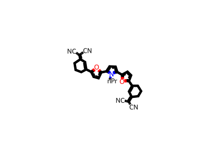 CCCn1c(-c2ccc(C3=CC(=C(C#N)C#N)CCC3)o2)ccc1-c1ccc(C2=CC(=C(C#N)C#N)CCC2)o1